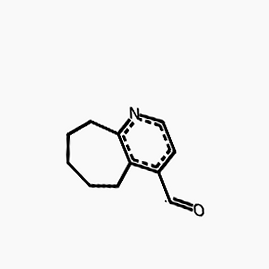 O=[C]c1ccnc2c1CCCCC2